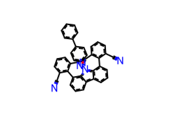 N#Cc1cccc(C#N)c1-c1cccc2c3cccc(-c4c(C#N)cccc4C#N)c3n(-c3ccc(-c4ccccc4)cc3)c12